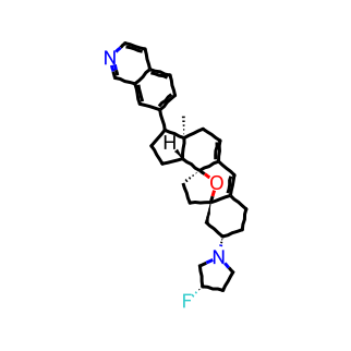 C[C@]12CC=C3C=C4CC[C@H](N5CC[C@H](F)C5)C[C@]45CC[C@]3(O5)[C@@H]1CCC2c1ccc2ccncc2c1